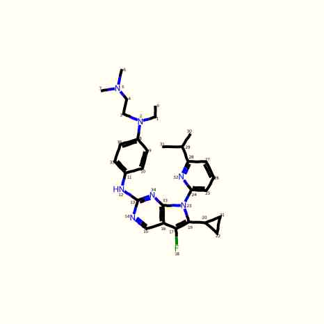 CCN(CCN(C)C)c1ccc(Nc2ncc3c(F)c(C4CC4)n(-c4cccc(C(C)C)n4)c3n2)cc1